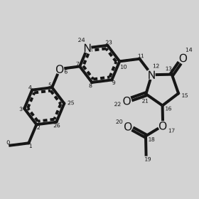 CCc1ccc(Oc2ccc(CN3C(=O)CC(OC(C)=O)C3=O)cn2)cc1